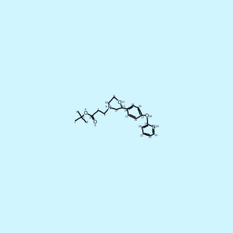 CC(C)(C)OC(=O)CCN1CCOC(c2ccc(Oc3ccccn3)cc2)C1